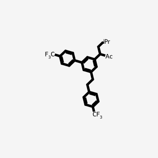 CC(=O)C(CC(C)C)c1cc(CCc2ccc(C(F)(F)F)cc2)cc(-c2ccc(C(F)(F)F)cc2)c1